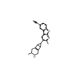 Cc1nc2oc3ccc(C#N)cc3c2cc1C1C2C3=C(CC(C)NC3)C21